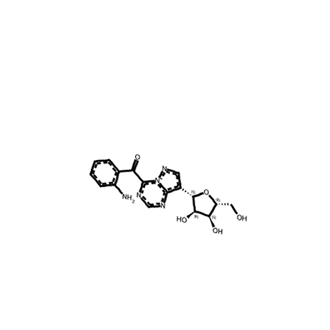 Nc1ccccc1C(=O)c1ncnc2c([C@@H]3O[C@H](CO)[C@@H](O)[C@H]3O)cnn12